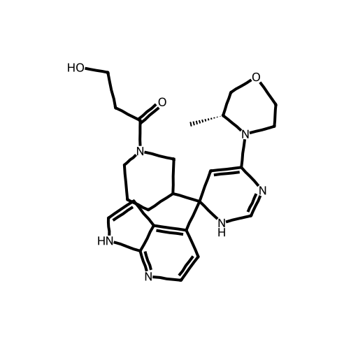 C[C@@H]1COCCN1C1=CC(c2ccnc3[nH]ccc23)(C2CCCN(C(=O)CCO)C2)NC=N1